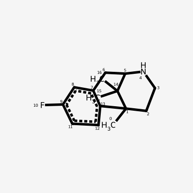 CC12CCNC(Cc3cc(F)ccc31)C2(C)C